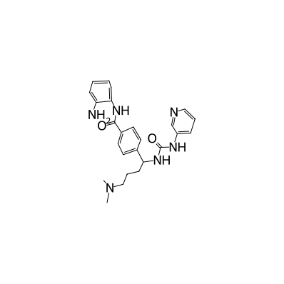 CN(C)CCCC(NC(=O)Nc1cccnc1)c1ccc(C(=O)Nc2ccccc2N)cc1